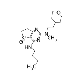 CCCCNc1nc(N(C)CCC2CCOCC2)nc2c1[S+]([O-])CC2